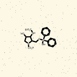 CCOC(=O)NC1C(O)CN(C(=O)O)C1CO[Si](c1ccccc1)(c1ccccc1)C(C)(C)C